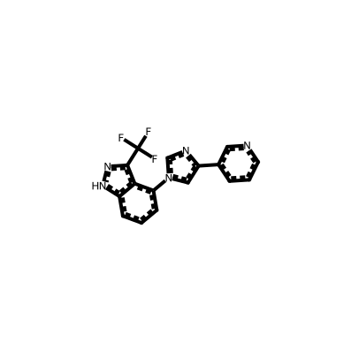 FC(F)(F)c1n[nH]c2cccc(-n3cnc(-c4cccnc4)c3)c12